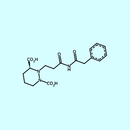 O=C(CCN1[C@H](C(=O)O)CCCN1C(=O)O)NC(=O)Cc1ccccc1